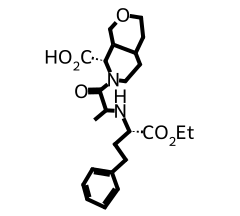 CCOC(=O)[C@H](CCc1ccccc1)NC(C)C(=O)N1CCC2CCOCC2[C@H]1C(=O)O